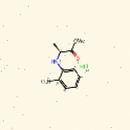 COC(=O)[C@H](C)Nc1ccccc1[N+](=O)[O-].Cl